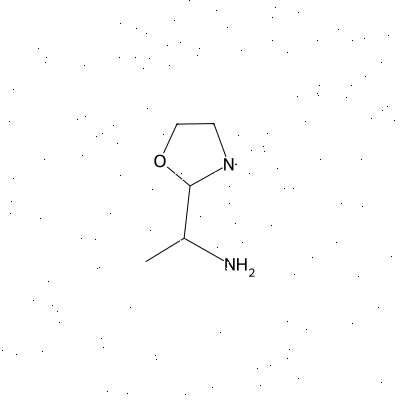 CC(N)C1[N]CCO1